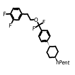 CCCCC[C@H]1CC[C@H](c2ccc(C(F)(F)OCCc3ccc(F)c(F)c3)cc2)CC1